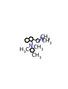 Cc1cc(C)c(/N=C/c2c(C3=CC(N(C)C)=CC3)ccc3ccccc23)c(C)c1